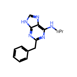 CCCNc1nc(Cc2ccccc2)nc2[nH]cnc12